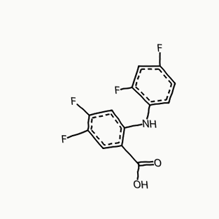 O=C(O)c1cc(F)c(F)cc1Nc1ccc(F)cc1F